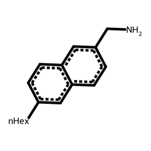 CCCCCCc1ccc2cc(CN)ccc2c1